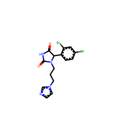 O=C1NC(=O)N(CCCn2ccnc2)C1c1ccc(Br)cc1Br